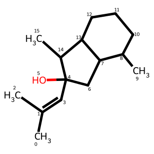 CC(C)=CC1(O)CC2C(C)CCCC2C1C